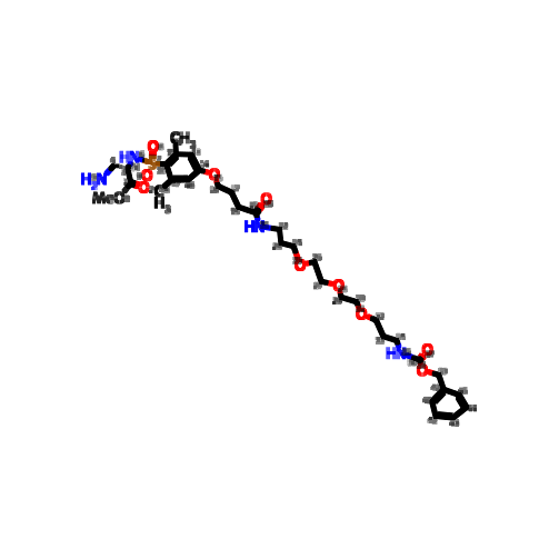 COC(=O)[C@H](CN)NS(=O)(=O)c1c(C)cc(OCCCC(=O)NCCCOCCOCCOCCCNC(=O)OCc2ccccc2)cc1C